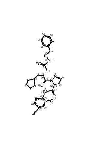 O=C(C[C@@H](CC1CCCC1)C(=O)N1N=CC[C@H]1C(=O)Nc1ccc(F)c[n+]1[O-])NOCc1ccccc1